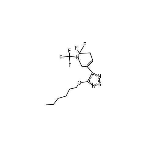 CCCCCCOc1nsnc1C1=CCC(F)(F)N(C(F)(F)F)C1